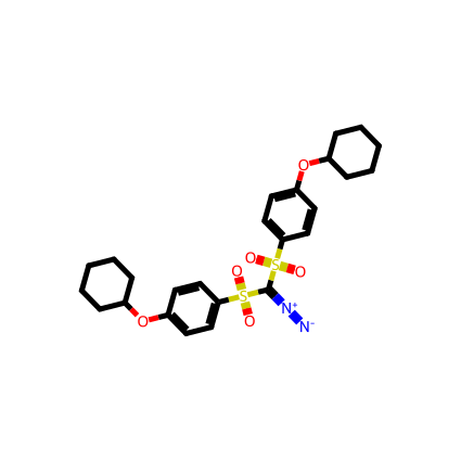 [N-]=[N+]=C(S(=O)(=O)c1ccc(OC2CCCCC2)cc1)S(=O)(=O)c1ccc(OC2CCCCC2)cc1